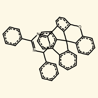 c1ccc(C2=NC(c3ccccc3)NC(c3cccc4c3C3(c5ccccc5O4)c4ccccc4-c4ccccc43)=N2)cc1